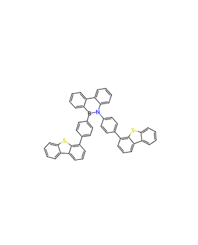 c1ccc2c(c1)B(c1ccc(-c3cccc4c3sc3ccccc34)cc1)N(c1ccc(-c3cccc4c3sc3ccccc34)cc1)c1ccccc1-2